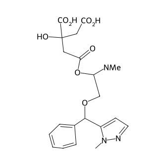 CNC(COC(c1ccccc1)c1ccnn1C)OC(=O)CC(O)(CC(=O)O)C(=O)O